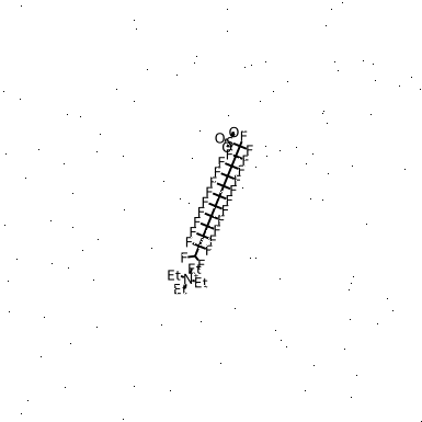 CC[N+](CC)(CC)CC.O=S(=O)([O-])C(F)(F)C(F)(F)C(F)(F)C(F)(F)C(F)(F)C(F)(F)C(F)(F)C(F)(F)C(F)(F)C(F)(F)C(F)(F)C(F)F